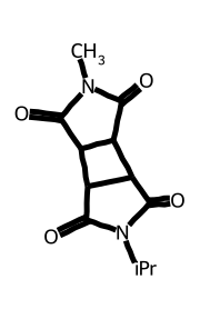 CC(C)N1C(=O)C2C3C(=O)N(C)C(=O)C3C2C1=O